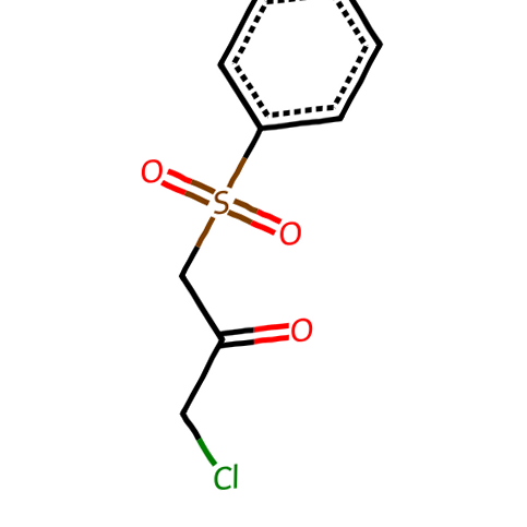 O=C(CCl)CS(=O)(=O)c1ccccc1